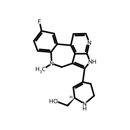 CN1Cc2c(C3=C[C@H](CO)NCC3)[nH]c3nccc(c23)-c2cc(F)ccc21